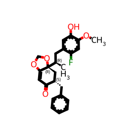 COc1cc(F)c(C[C@@H](C)[C@]23C[C@H](Cc4ccccc4)C(=O)C=C2OCO3)cc1O